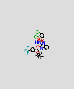 CC(C)[Si](OCC(Oc1nc2ccccc2nc1NS(=O)(=O)c1cccc(Cl)c1Cl)c1ccc(C(F)(F)F)cc1)(C(C)C)C(C)C